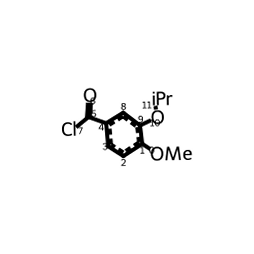 COc1ccc(C(=O)Cl)cc1OC(C)C